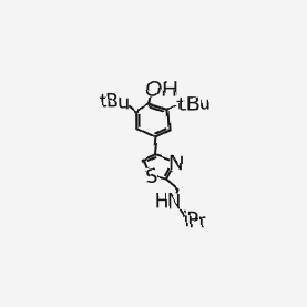 CC(C)NCc1nc(-c2cc(C(C)(C)C)c(O)c(C(C)(C)C)c2)cs1